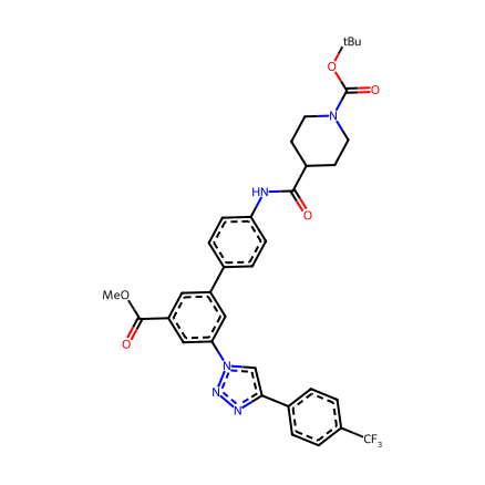 COC(=O)c1cc(-c2ccc(NC(=O)C3CCN(C(=O)OC(C)(C)C)CC3)cc2)cc(-n2cc(-c3ccc(C(F)(F)F)cc3)nn2)c1